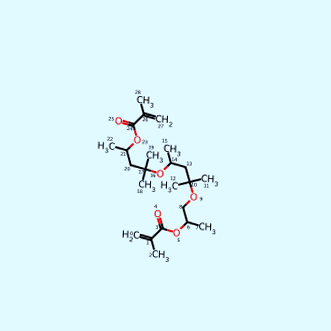 C=C(C)C(=O)OC(C)COC(C)(C)CC(C)OC(C)(C)CC(C)OC(=O)C(=C)C